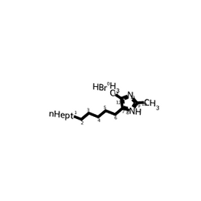 Br.CCCCCCCCCCCCc1[nH]c(C)nc1C